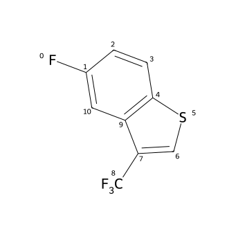 Fc1ccc2scc(C(F)(F)F)c2c1